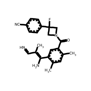 C/C(C=N)=C(/N)c1cc(C(=O)N2CC(F)(c3ccc(C#N)cc3)C2)c(C)cc1C